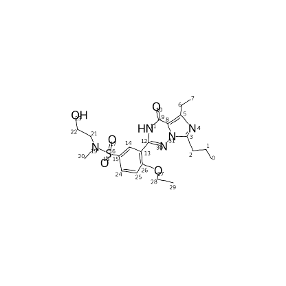 CCCc1nc(CC)c2c(=O)[nH]c(-c3cc(S(=O)(=O)N(C)CCO)ccc3OCC)nn12